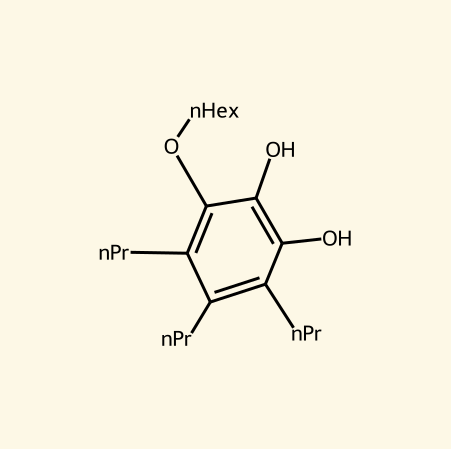 CCCCCCOc1c(O)c(O)c(CCC)c(CCC)c1CCC